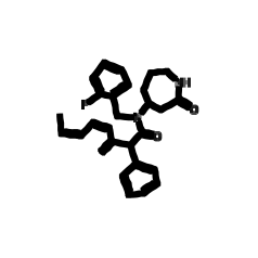 C=C(/C=C\C=C/C)C(C(=O)N(Cc1ccccc1F)C1CCCNC(=O)C1)c1ccccc1